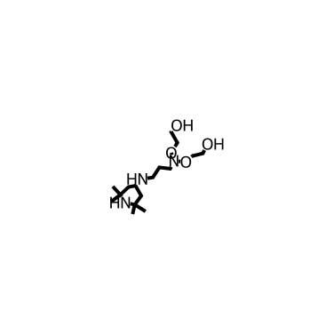 CC1(C)CC(NCCCN(OCCO)OCCO)CC(C)(C)N1